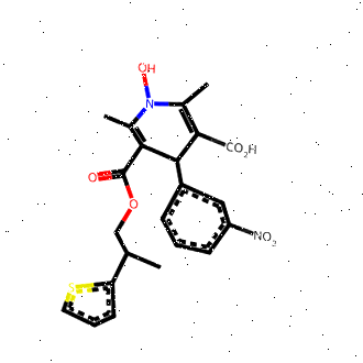 CC1=C(C(=O)O)C(c2cccc([N+](=O)[O-])c2)C(C(=O)OCC(C)c2cccs2)=C(C)N1O